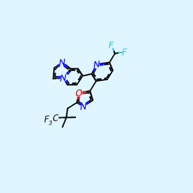 CC(C)(Cc1ncc(-c2ccc(C(F)F)nc2-c2ccn3ccnc3c2)o1)C(F)(F)F